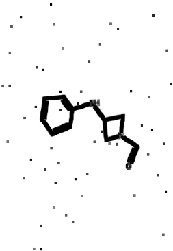 O=CN1CC(Nc2ccccc2)C1